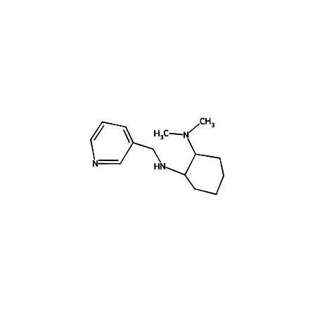 CN(C)C1CCCCC1NCc1cccnc1